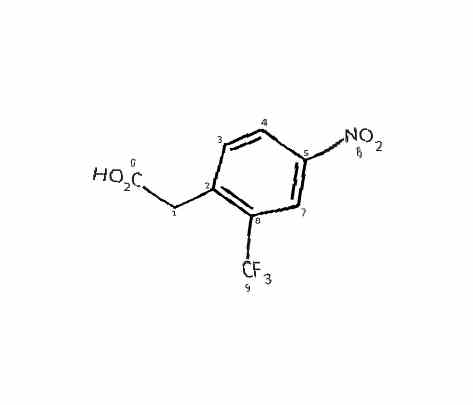 O=C(O)Cc1ccc([N+](=O)[O-])cc1C(F)(F)F